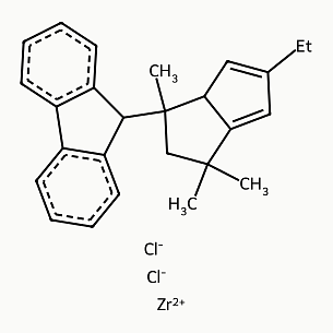 CCC1=CC2C(=C1)C(C)(C)CC2(C)C1c2ccccc2-c2ccccc21.[Cl-].[Cl-].[Zr+2]